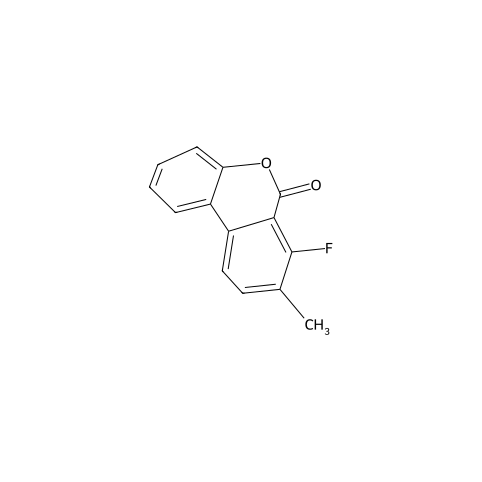 Cc1ccc2c(c1F)c(=O)oc1ccccc12